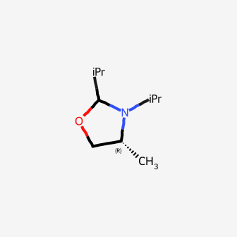 CC(C)C1OC[C@@H](C)N1C(C)C